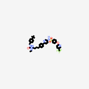 CCn1c(CCCc2ccc(-c3ccc(NS(=O)(=O)c4ccc(Oc5ccc(C(F)(F)F)cn5)cc4)cn3)cc2)nn(Cc2ccc(C(C)(C)C)cc2)c1=O